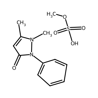 COS(=O)(=O)O.Cc1cc(=O)n(-c2ccccc2)n1C